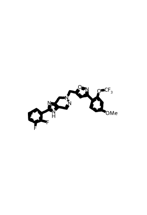 COc1ccc(-c2cc(CN3Cc4nc(-c5cccc(F)c5F)[nH]c4C=N3)on2)c(OC(F)(F)F)c1